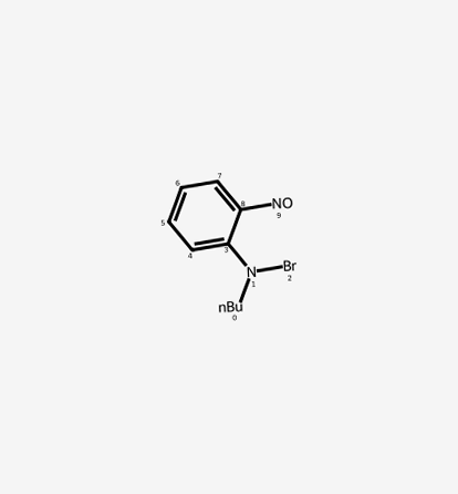 CCCCN(Br)c1ccccc1N=O